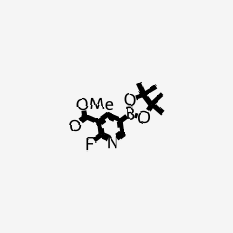 COC(=O)c1cc(B2OC(C)(C)C(C)(C)O2)cnc1F